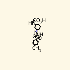 Cc1ccc(S(=O)(=O)N/N=C2\CCCC(NC(=O)O)C2)cc1